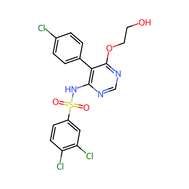 O=S(=O)(Nc1ncnc(OCCO)c1-c1ccc(Cl)cc1)c1ccc(Cl)c(Cl)c1